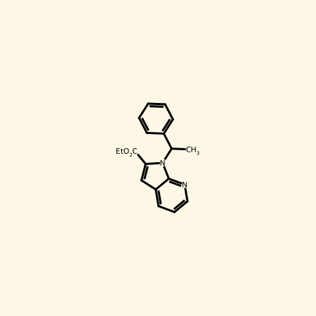 CCOC(=O)c1cc2cccnc2n1C(C)c1ccccc1